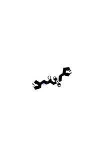 O=C(/C=C/c1ccsc1)CS(=O)(=O)C=Cc1ccsc1